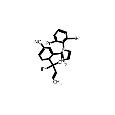 CC=CC(C)(C(C)C)C1CC=C(C#N)C=C1c1nccn1-c1c(C(C)C)cccc1C(C)C